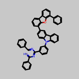 N=C(/N=C(\N=C\c1ccccc1)c1cccc(-n2c3ccccc3c3cc(-c4cccc5c4oc4c(-c6ccccc6)cccc45)ccc32)c1)c1ccccc1